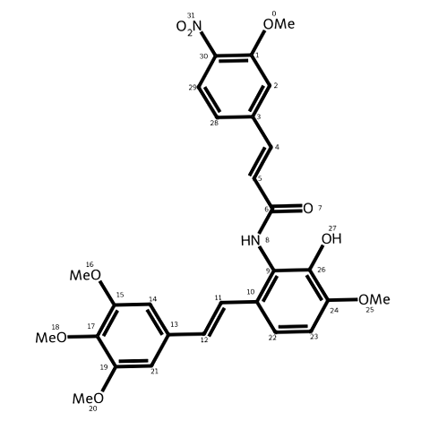 COc1cc(/C=C/C(=O)Nc2c(C=Cc3cc(OC)c(OC)c(OC)c3)ccc(OC)c2O)ccc1[N+](=O)[O-]